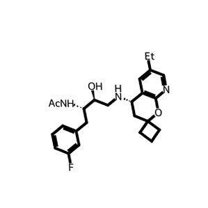 CCc1cnc2c(c1)[C@@H](NC[C@H](O)[C@H](Cc1cccc(F)c1)NC(C)=O)CC1(CCC1)O2